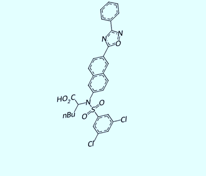 CCCCC(C(=O)O)N(c1ccc2cc(-c3nc(-c4ccccc4)no3)ccc2c1)S(=O)(=O)c1cc(Cl)cc(Cl)c1